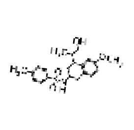 COc1ccc2c(c1)[C@H]([C@@H](C)CO)C[C@H](NS(=O)(=O)c1ccc(C)cc1)C2